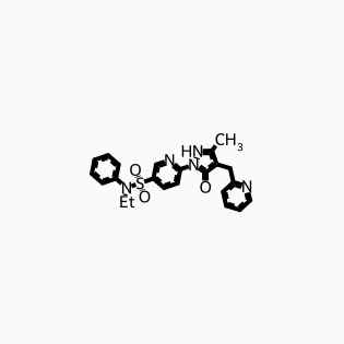 CCN(c1ccccc1)S(=O)(=O)c1ccc(-n2[nH]c(C)c(Cc3ccccn3)c2=O)nc1